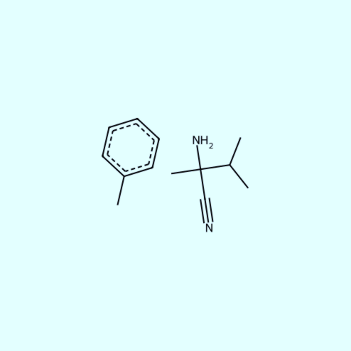 CC(C)C(C)(N)C#N.Cc1ccccc1